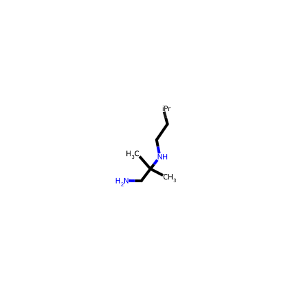 CC(C)CCNC(C)(C)CN